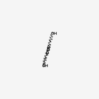 OCCCCC=CCCCOCOCOCCCC=CCCCCO